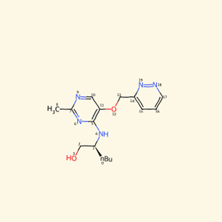 CCCC[C@@H](CO)Nc1nc(C)ncc1OCc1cccnn1